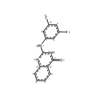 O=c1[nH]c(Nc2cc(F)cc(F)c2)nc2ccccc12